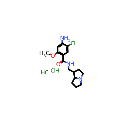 COc1cc(N)c(Cl)cc1C(=O)NCC1CCN2CCCC12.Cl.Cl